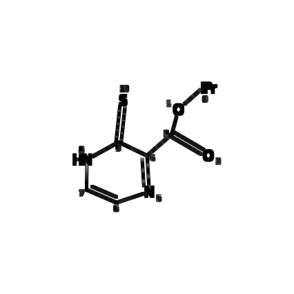 CC(C)OC(=O)c1ncc[nH]c1=S